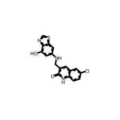 O=c1[nH]c2ccc(Cl)cc2cc1CNc1cc(O)c2ncsc2c1